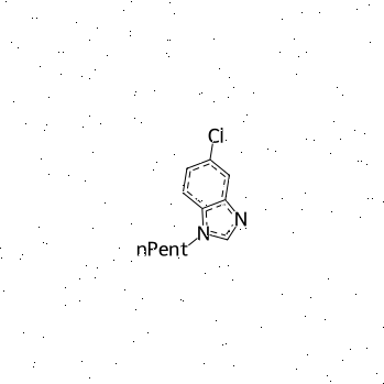 CCCCCn1cnc2cc(Cl)ccc21